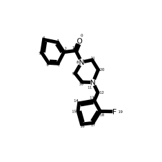 O=C(c1ccccc1)N1CCN(Cc2ccccc2F)CC1